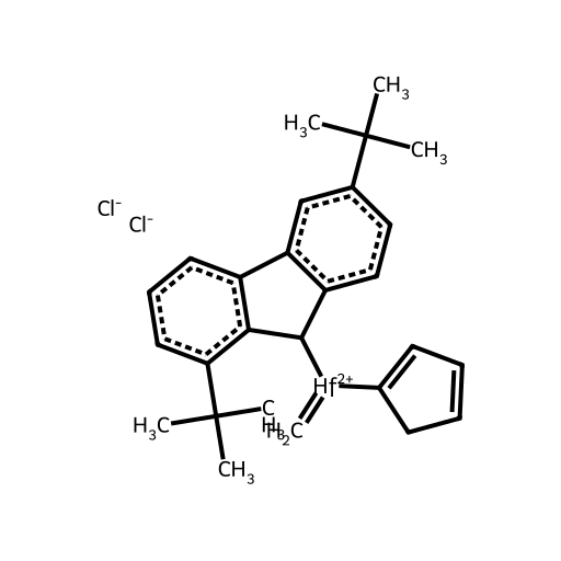 [CH2]=[Hf+2]([C]1=CC=CC1)[CH]1c2ccc(C(C)(C)C)cc2-c2cccc(C(C)(C)C)c21.[Cl-].[Cl-]